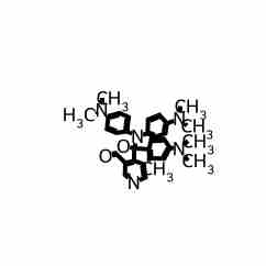 Cc1cc(N(C)C)ccc1C1(N(c2ccc(N(C)C)cc2)c2ccc(N(C)C)cc2)OC(=O)c2cnccc21